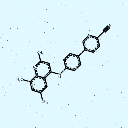 Cc1cc(C)c2nc(C)cc(Nc3ccc(-c4ccc(C#N)nc4)cc3)c2c1